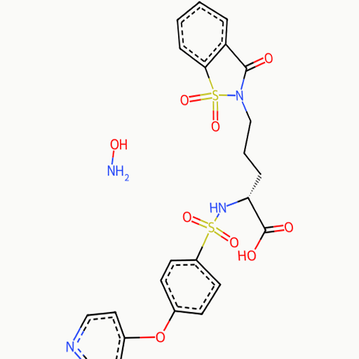 NO.O=C(O)[C@@H](CCCN1C(=O)c2ccccc2S1(=O)=O)NS(=O)(=O)c1ccc(Oc2ccncc2)cc1